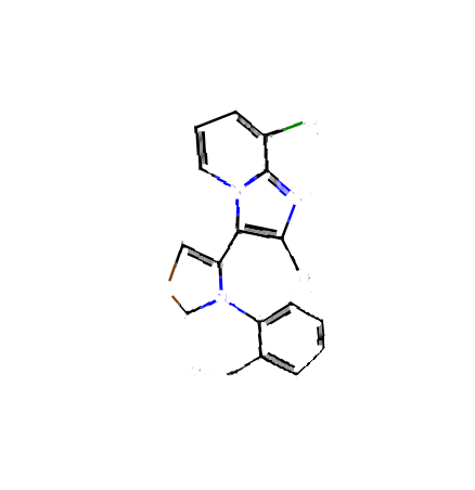 COc1ccccc1N1CSC=C1c1c(C)nc2c(Br)cccn12